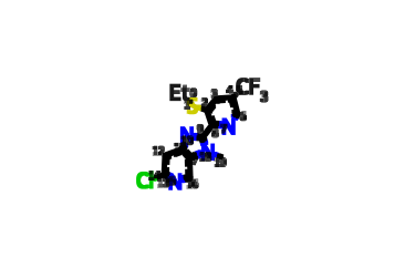 CCSc1cc(C(F)(F)F)cnc1-c1nc2cc(Cl)ncc2n1C